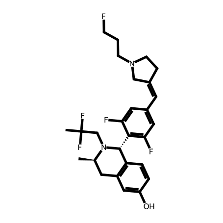 C[C@@H]1Cc2cc(O)ccc2[C@@H](c2c(F)cc(/C=C3/CCN(CCCF)C3)cc2F)N1CC(C)(F)F